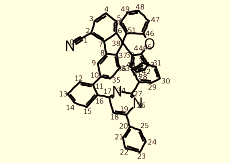 N#Cc1cccc2c1-c1cc(-c3ccccc3-c3cc(-c4ccccc4)nc(-c4ccccc4)n3)ccc1C21c2ccccc2Oc2ccccc21